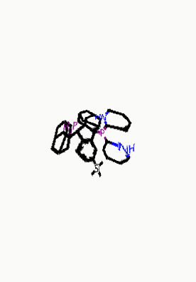 C[Si](C)(C)c1ccc(C(P)(C23CC4CC(CC(C4)C2)C3)C23CC4CC(CC(C4)C2)C3)c(CP(C2CCCCN2)C2CCCCN2)c1